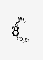 CCOC(=O)c1ccc2nn(CCN)cc2c1